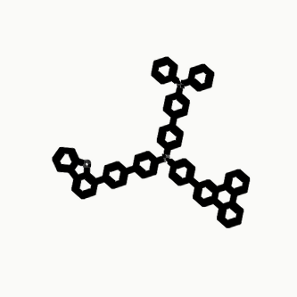 c1ccc(N(c2ccccc2)c2ccc(-c3ccc(N(c4ccc(-c5ccc(-c6cccc7c6oc6ccccc67)cc5)cc4)c4ccc(-c5ccc6c7ccccc7c7ccccc7c6c5)cc4)cc3)cc2)cc1